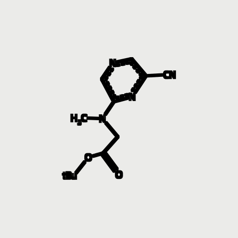 CN(CC(=O)OC(C)(C)C)c1cncc(C#N)n1